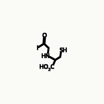 O=C(I)CNC(CS)C(=O)O